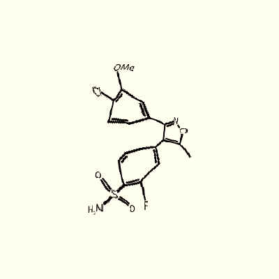 COc1cc(-c2noc(C)c2-c2ccc(S(N)(=O)=O)c(F)c2)ccc1Cl